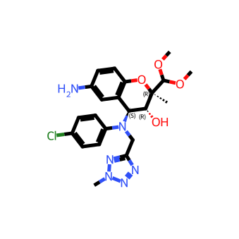 COC(OC)[C@]1(C)Oc2ccc(N)cc2[C@H](N(Cc2nnn(C)n2)c2ccc(Cl)cc2)[C@H]1O